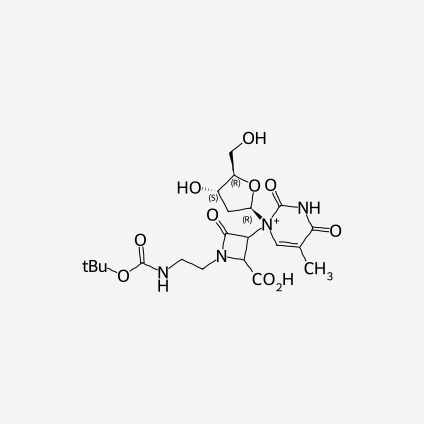 CC1=C[N+](C2C(=O)N(CCNC(=O)OC(C)(C)C)C2C(=O)O)([C@H]2C[C@H](O)[C@@H](CO)O2)C(=O)NC1=O